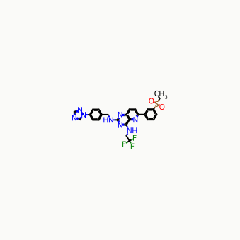 CCS(=O)(=O)c1cccc(-c2ccc3nc(NCc4ccc(-n5cncn5)cc4)nc(NCC(F)(F)F)c3n2)c1